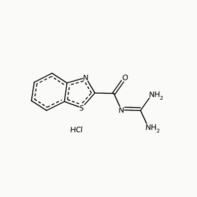 Cl.NC(N)=NC(=O)c1nc2ccccc2s1